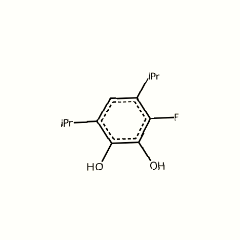 CC(C)c1cc(C(C)C)c(F)c(O)c1O